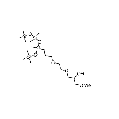 COCC(O)COCCOCCC[Si](C)(O[Si](C)(C)C)O[Si](C)(C)O[Si](C)(C)C